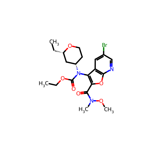 CCOC(=O)N(c1c(C(=O)N(C)OC)oc2ncc(Br)cc12)[C@H]1CCO[C@@H](CC)C1